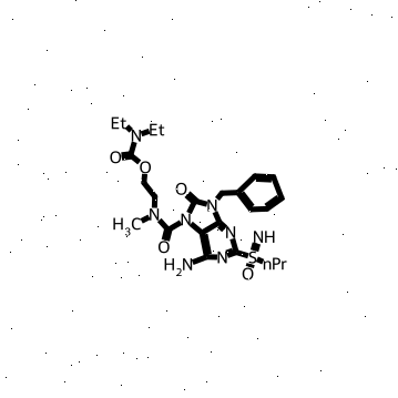 CCCS(=N)(=O)c1nc(N)c2c(n1)n(Cc1ccccc1)c(=O)n2C(=O)N(C)CCOC(=O)N(CC)CC